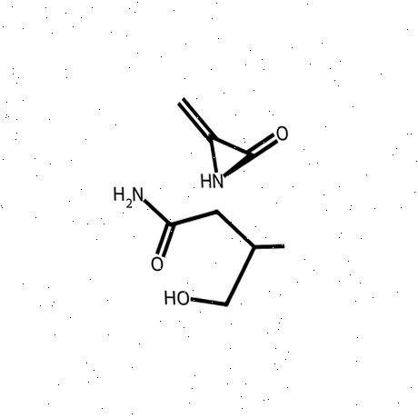 C=C1NC1=O.CC(CO)CC(N)=O